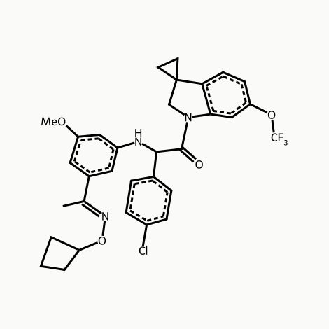 COc1cc(NC(C(=O)N2CC3(CC3)c3ccc(OC(F)(F)F)cc32)c2ccc(Cl)cc2)cc(C(C)=NOC2CCC2)c1